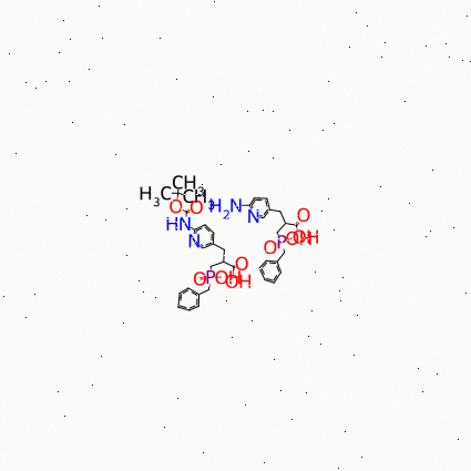 CC(C)(C)OC(=O)Nc1ccc(CC(CP(=O)(O)Cc2ccccc2)C(=O)O)cn1.Nc1ccc(CC(CP(=O)(O)Cc2ccccc2)C(=O)O)cn1